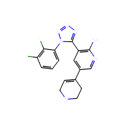 Nc1ncc(C2=CC[N]CC2)cc1-c1nnnn1-c1cccc(F)c1F